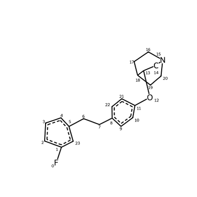 Fc1cccc(CCc2ccc(OC3CN4CCC3CC4)cc2)c1